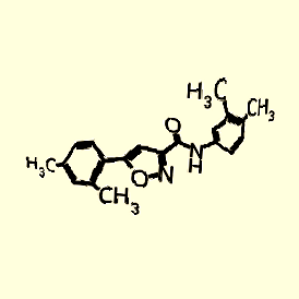 Cc1ccc(-c2cc(C(=O)Nc3ccc(C)c(C)c3)no2)c(C)c1